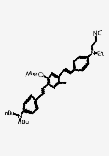 [C-]#[N+]CCN(CC)c1ccc(/C=C/c2cc(OC)c(/C=C/c3ccc(N(CCCC)CCCC)cc3)cc2C)cc1